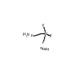 F[B-](F)(F)F.N.[NaH]